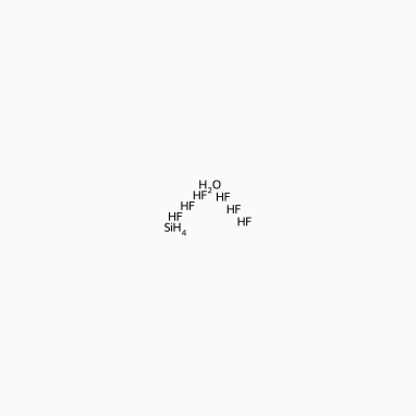 F.F.F.F.F.F.O.[SiH4]